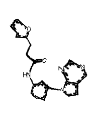 O=C(CCc1ccco1)Nc1cccc(-n2ccc3cncnc32)c1